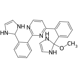 COC1(c2ccccc2-c2ccnc(-c3ccccc3C3NC=CN3)n2)NC=CN1